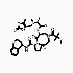 COC(C)(C)C(=O)N1CC[C@H]2CC[C@@H](C(=O)N[C@@H]3CCOc4ccccc43)N2C(=O)[C@@H](NC(=O)[C@H](C)N(C)Cc2oc(=O)oc2C)C1